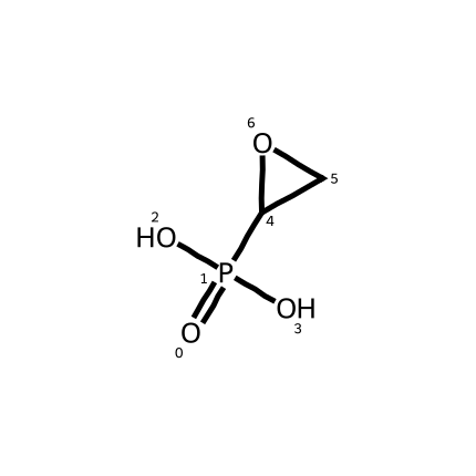 O=P(O)(O)C1CO1